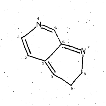 C1=c2ccncc2=NCC1